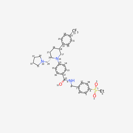 CCS(=O)(=O)c1ccc(CNC(=O)c2ccc(N3CC(c4ccc(C(F)(F)F)cc4)CC[C@H]3CN3CCCC3)cc2)cc1